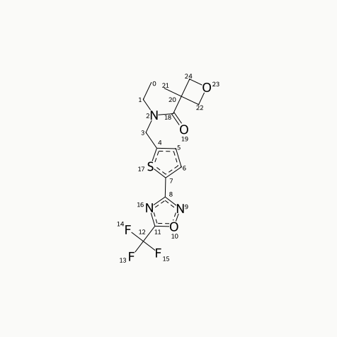 CCN(Cc1ccc(-c2noc(C(F)(F)F)n2)s1)C(=O)C1(C)COC1